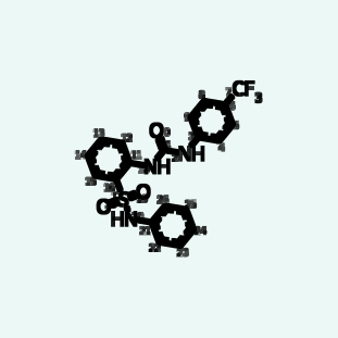 O=C(Nc1ccc(C(F)(F)F)cc1)Nc1ccccc1S(=O)(=O)Nc1ccccc1